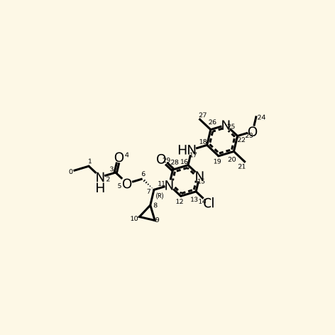 CCNC(=O)OC[C@@H](C1CC1)n1cc(Cl)nc(Nc2cc(C)c(OC)nc2C)c1=O